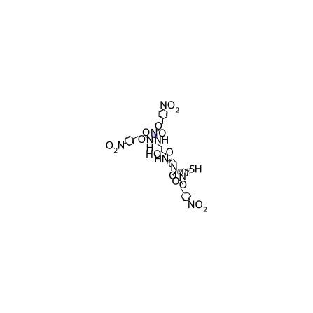 O=C(/N=C(\NCCC(O)C(=O)N[C@H]1CCN(C(=O)[C@@H]2C[C@H](S)CN2C(=O)OCc2ccc([N+](=O)[O-])cc2)C1)NC(=O)OCc1ccc([N+](=O)[O-])cc1)OCc1ccc([N+](=O)[O-])cc1